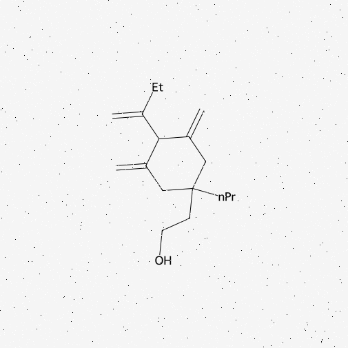 C=C(CC)C1C(=C)CC(CCC)(CCO)CC1=C